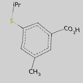 Cc1cc(SC(C)C)cc(C(=O)O)c1